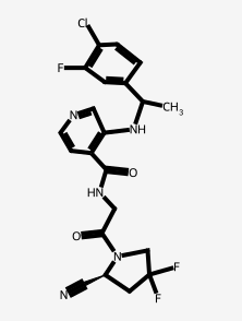 CC(Nc1cnccc1C(=O)NCC(=O)N1CC(F)(F)C[C@H]1C#N)c1ccc(Cl)c(F)c1